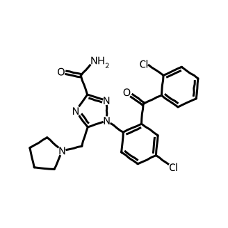 NC(=O)c1nc(CN2CCCC2)n(-c2ccc(Cl)cc2C(=O)c2ccccc2Cl)n1